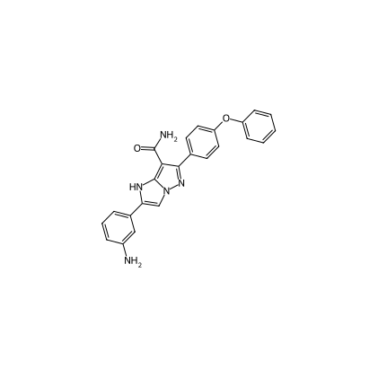 NC(=O)c1c(-c2ccc(Oc3ccccc3)cc2)nn2cc(-c3cccc(N)c3)[nH]c12